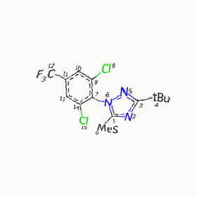 CSc1nc(C(C)(C)C)nn1-c1c(Cl)cc(C(F)(F)F)cc1Cl